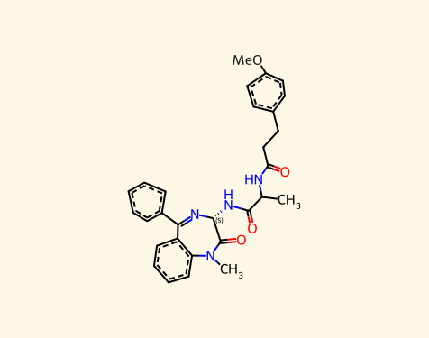 COc1ccc(CCC(=O)NC(C)C(=O)N[C@H]2N=C(c3ccccc3)c3ccccc3N(C)C2=O)cc1